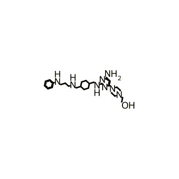 Nc1cc(N2CCN(CCO)CC2)nc(NCC2CCC(CNCCCNc3ccccc3)CC2)n1